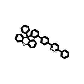 c1ccc(-c2ccc(-c3ccc(-c4cccc(C5(c6ccccc6)c6ccccc6Oc6ccccc65)c4)cc3)nn2)cc1